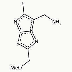 COCc1nn2c(CN)c(C)nc2s1